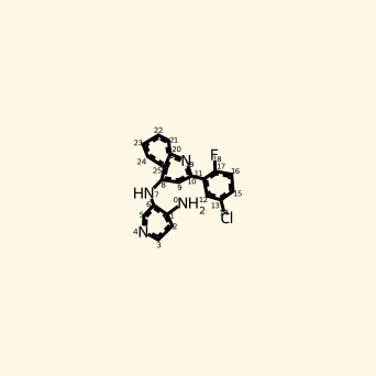 Nc1ccncc1Nc1cc(-c2cc(Cl)ccc2F)nc2ccccc12